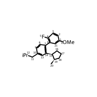 COc1ccc(F)c(-c2ccc(CC(C)C)cc2[C@H]2CCC[C@H]2C)c1